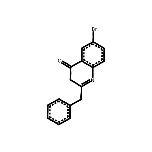 O=C1CC(Cc2ccccc2)=Nc2ccc(Br)cc21